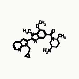 COc1cc(C(=O)N2CC(N)CCC2C)cc2nc(-c3cc4cccnc4n3CC3CC3)n(C)c12